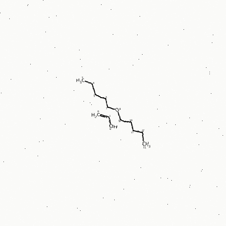 C=CO.CCCCCOCCCCC